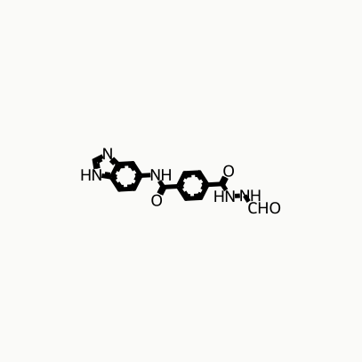 O=CNNC(=O)c1ccc(C(=O)Nc2ccc3[nH]cnc3c2)cc1